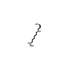 CCC/C=C\CNCCCCCCNCCCC